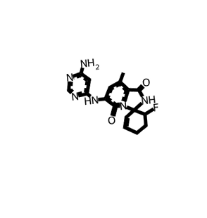 Cc1cc(Nc2cc(N)ncn2)c(=O)n2c1C(=O)NC21C=CCCC1F